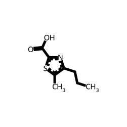 CCCc1nc(C(=O)O)sc1C